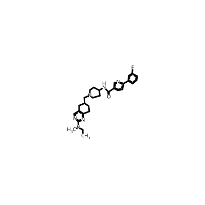 CCN(C)c1ncc2c(n1)CCC(CN1CCC(NC(=O)c3ccc(-c4cccc(F)c4)nc3)CC1)C2